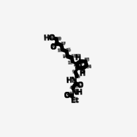 CCC(=O)NCC(=O)NCC[C@H]1[C@@H](CC=CCCCC(=O)CO)[C@H]2CC[C@@H]1O2